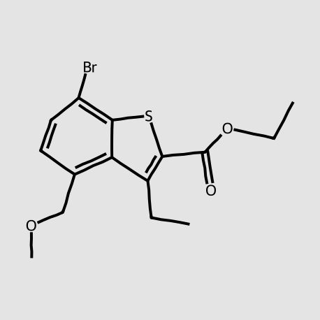 CCOC(=O)c1sc2c(Br)ccc(COC)c2c1CC